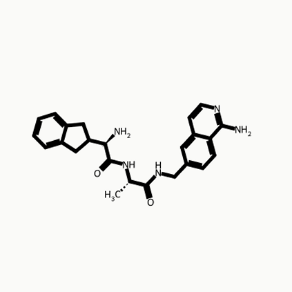 C[C@H](NC(=O)[C@H](N)C1Cc2ccccc2C1)C(=O)NCc1ccc2c(N)nccc2c1